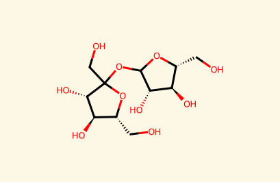 OC[C@H]1OC(CO)(OC2O[C@H](CO)[C@@H](O)[C@@H]2O)[C@@H](O)[C@@H]1O